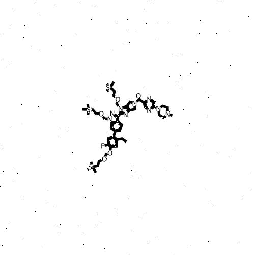 CCc1cc(OCOCC[Si](C)(C)C)c(F)cc1-c1ccc2c(-c3nc4c(n3COCC[Si](C)(C)C)CN(C(=O)c3cnc(N5CCN(C)CC5)cn3)C4)nn(COCC[Si](C)(C)C)c2c1